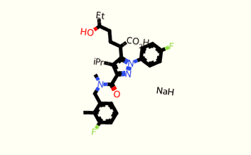 CCC(O)CCC(C(=O)O)c1c(C(C)C)c(C(=O)N(C)Cc2cccc(F)c2C)nn1-c1ccc(F)cc1.[NaH]